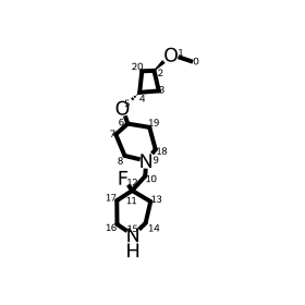 CO[C@H]1C[C@H](OC2CCN(CC3(F)CCNCC3)CC2)C1